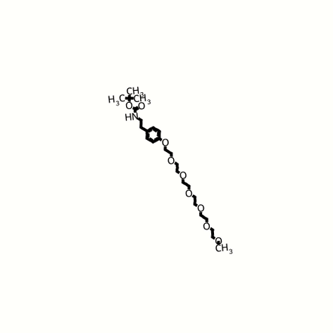 COCCOCCOCCOCCOCCOCCOc1ccc(CCNC(=O)OC(C)(C)C)cc1